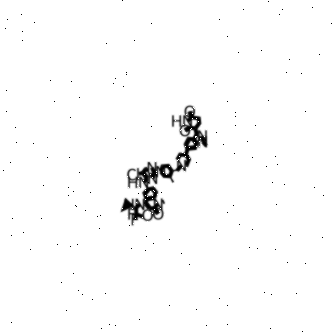 C[C@H]1CN(c2ncc(Cl)c(Nc3ccc4c(c3)c3c(c(=O)n4C)OCC(F)(F)[C@H](C4CC4)N3)n2)CC[C@H]1CN1CCC(c2ccc3c(C4CCC(=O)NC4=O)nn(C)c3c2)CC1